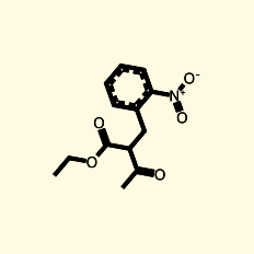 CCOC(=O)C(Cc1ccccc1[N+](=O)[O-])C(C)=O